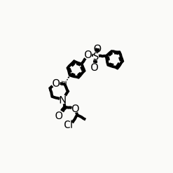 CC(Cl)OC(=O)N1CCO[C@H](c2ccc(OS(=O)(=O)c3ccccc3)cc2)C1